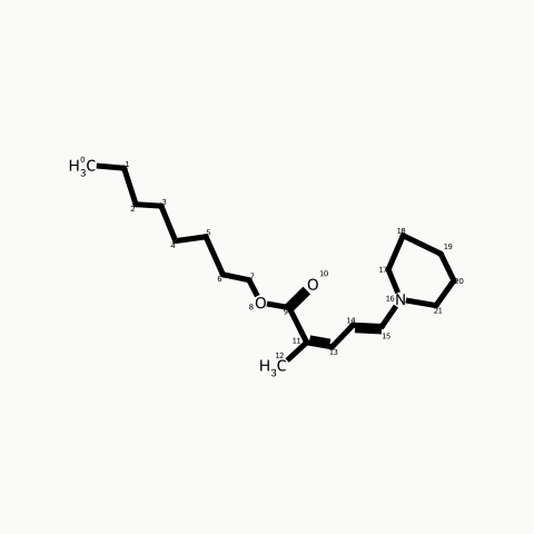 CCCCCCCCOC(=O)/C(C)=C\C=C\N1CCCCC1